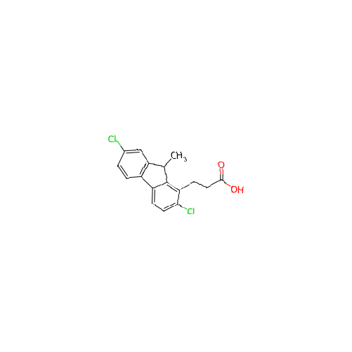 CC1c2cc(Cl)ccc2-c2ccc(Cl)c(CCC(=O)O)c21